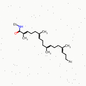 CCNC(=O)C(C)=CCCC(C)=CCCC(C)=CCCC(C)=CCCC(C)=O